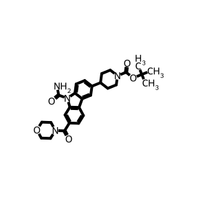 CC(C)(C)OC(=O)N1CCC(c2ccc3c(c2)c2ccc(C(=O)N4CCOCC4)cc2n3C(N)=O)CC1